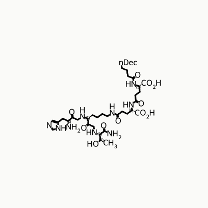 CCCCCCCCCCCCCC(=O)N[C@@H](CCC(=O)N[C@@H](CCC(=O)NCCCC[C@H](NCC(=O)[C@@H](N)Cc1cnc[nH]1)C(=O)CN[C@H](C(N)=O)[C@@H](C)O)C(=O)O)C(=O)O